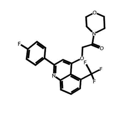 O=C(COc1cc(-c2ccc(F)cc2)nc2cccc(C(F)(F)F)c12)N1CCOCC1